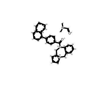 CN(C)C=O.O=C(c1ccc(-c2cccc3ccccc23)cc1)N1Cc2cccn2Cc2ccccc21